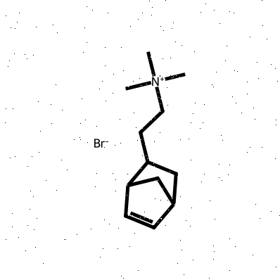 C[N+](C)(C)CCC1CC2C=CC1C2.[Br-]